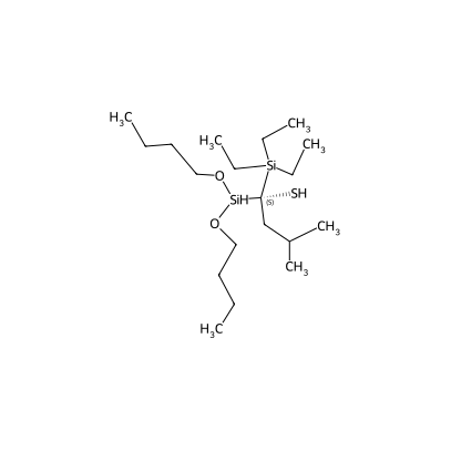 CCCCO[SiH](OCCCC)[C@](S)(CC(C)C)[Si](CC)(CC)CC